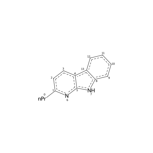 CCCc1ccc2c(n1)[nH]c1ccccc12